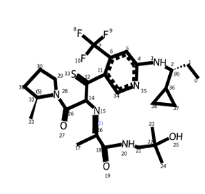 CC[C@@H](Nc1cc(C(F)(F)F)c(C(=S)C(/N=C(\C)C(=O)NCC(C)(C)O)C(=O)N2CCC[C@@H]2C)cn1)C1CC1